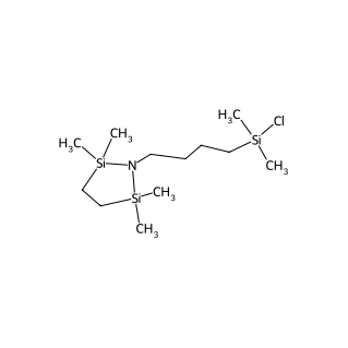 C[Si](C)(Cl)CCCCN1[Si](C)(C)CC[Si]1(C)C